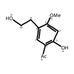 COc1cc(O)c(C(C)=O)cc1CCO